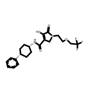 O=C(N[C@H]1CC[C@@H](c2ccccc2)CC1)C1=C(O)C(=O)N(CCOCC(F)(F)F)C1